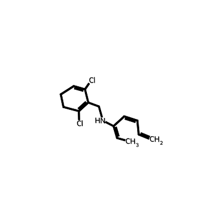 C=C/C=C\C(=C/C)NCC1=C(Cl)CCC=C1Cl